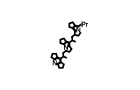 CC(C)c1c2c(c3n1CCC3CC(C)c1c3c(n4c1CCC4CC(C)c1c4c(nc5c1CCC5)CCC4)CCC3)CCC2